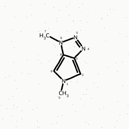 Cn1cc2nnn(C)c2c1